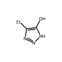 CCc1nn[nH]c1O